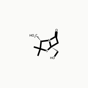 CC1(C)S[C@]2(CO)CC(=O)N2[C@H]1C(=O)O